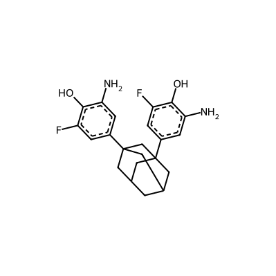 Nc1cc(C23CC4CC(C2)CC(c2cc(N)c(O)c(F)c2)(C4)C3)cc(F)c1O